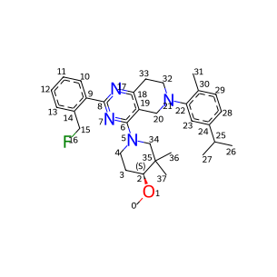 CO[C@H]1CCN(c2nc(-c3ccccc3CF)nc3c2CN(c2cc(C(C)C)ccc2C)CC3)CC1(C)C